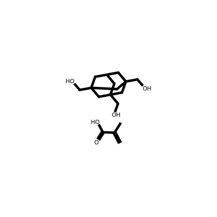 C=C(C)C(=O)O.OCC12CC3CC(CO)(C1)CC(CO)(C3)C2